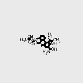 Cc1[nH]c2c(C(N)O)cc(I)c(-c3cccc4c3CCN(C(=O)OC(C)(C)C)C4)c2c1C